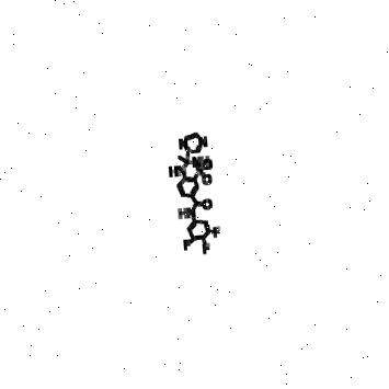 CC1(c2cnccn2)Nc2ccc(C(=O)Nc3cc(F)c(F)c(F)c3)cc2S(=O)(=O)N1